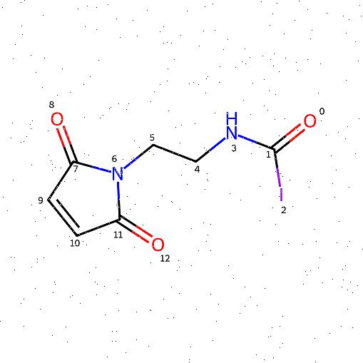 O=C(I)NCCN1C(=O)C=CC1=O